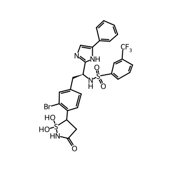 O=C1CC(c2ccc(C[C@H](NS(=O)(=O)c3cccc(C(F)(F)F)c3)c3ncc(-c4ccccc4)[nH]3)cc2Br)S(O)(O)N1